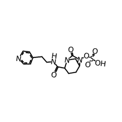 O=C(NCCc1ccncc1)C1CCC2CN1C(=O)N2OS(=O)(=O)O